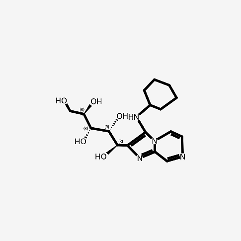 OC[C@@H](O)[C@@H](O)[C@H](O)[C@H](O)c1nc2cnccn2c1NC1CCCCC1